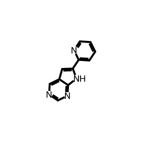 c1ccc(-c2cc3cncnc3[nH]2)nc1